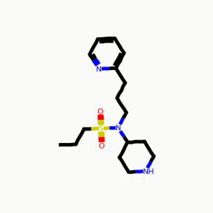 CCCS(=O)(=O)N(CCCc1ccccn1)C1CCNCC1